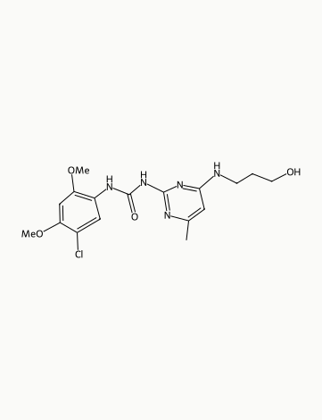 COc1cc(OC)c(NC(=O)Nc2nc(C)cc(NCCCO)n2)cc1Cl